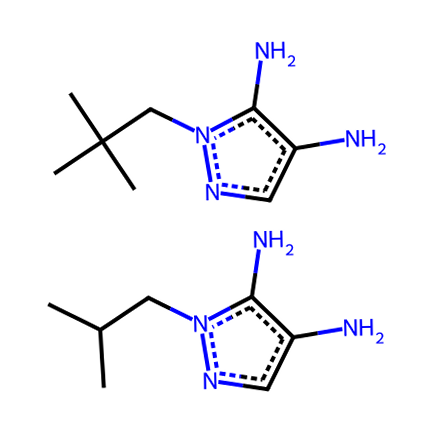 CC(C)(C)Cn1ncc(N)c1N.CC(C)Cn1ncc(N)c1N